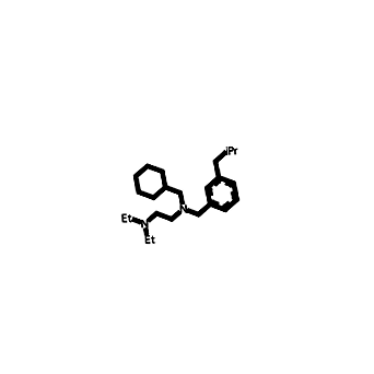 CCN(CC)CCN(Cc1cccc(CC(C)C)c1)CC1CCCCC1